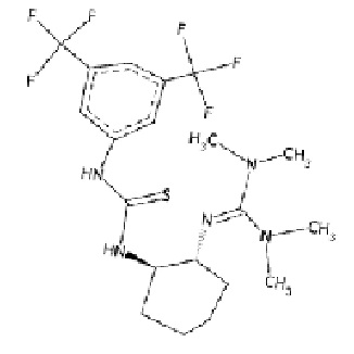 CN(C)C(=N[C@@H]1CCCC[C@H]1NC(=S)Nc1cc(C(F)(F)F)cc(C(F)(F)F)c1)N(C)C